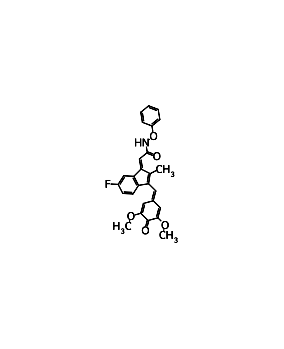 COC1=CC(=CC2=C(C)/C(=C\C(=O)NOc3ccccc3)c3cc(F)ccc32)C=C(OC)C1=O